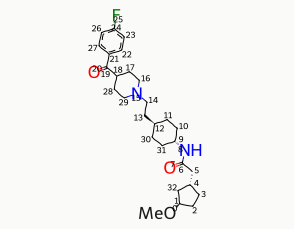 CO[C@@H]1CC[C@@H](CC(=O)N[C@H]2CC[C@H](CCN3CCC(C(=O)c4ccc(F)cc4)CC3)CC2)C1